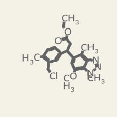 CCOC(=O)CC(c1ccc(C)c(CCl)c1)c1cc(OC)c2c(nnn2C)c1C